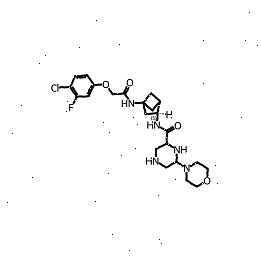 O=C(COc1ccc(Cl)c(F)c1)NC12CC(C1)[C@@H](NC(=O)C1CNCC(N3CCOCC3)N1)C2